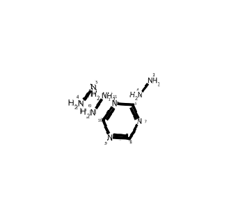 NN.NN.NN.c1ncncn1